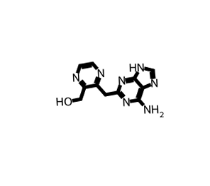 Nc1nc(Cc2nccnc2CO)nc2[nH]cnc12